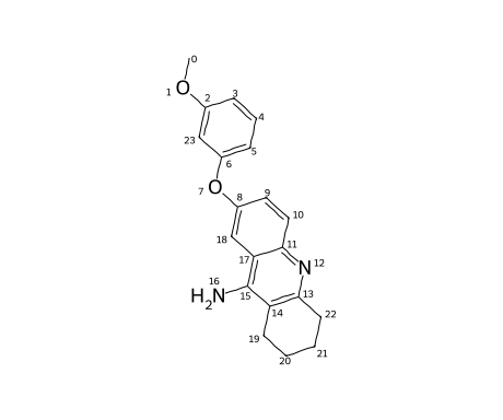 COc1cccc(Oc2ccc3nc4c(c(N)c3c2)CCCC4)c1